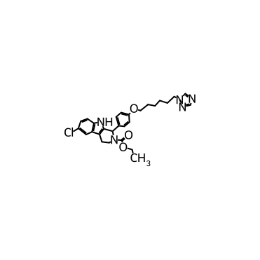 CCOC(=O)N1CCc2c([nH]c3ccc(Cl)cc23)C1c1ccc(OCCCCCCn2cncn2)cc1